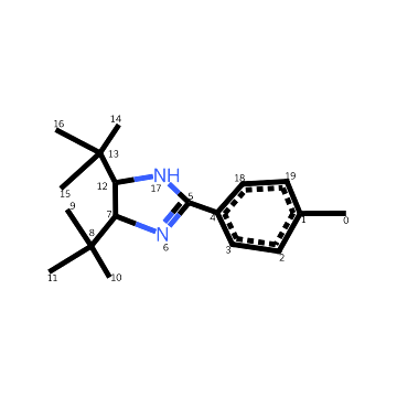 Cc1ccc(C2=NC(C(C)(C)C)C(C(C)(C)C)N2)cc1